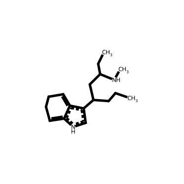 CCCC(CC(CC)NC)c1c[nH]c2c1=CCCC=2